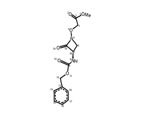 COC(=O)CON1C[C@@H](NC(=O)OCc2ccccc2)C1=O